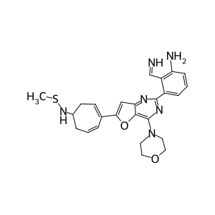 CSNC1CC=CC(c2cc3nc(-c4cccc(N)c4C=N)nc(N4CCOCC4)c3o2)=CC1